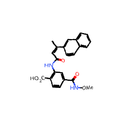 CONC(=O)c1ccc(C(=O)O)c(NC(=O)/C=C(/C)c2ccc3ccccc3c2)c1